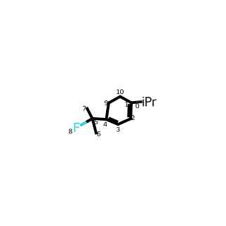 CC(C)C1=CC=C(C(C)(C)F)CC1